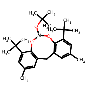 Cc1cc2c(c(C(C)(C)C)c1)[O][Al]([O]C(C)(C)C)[O]c1c(cc(C)cc1C(C)(C)C)C2